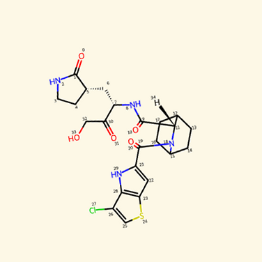 O=C1NCC[C@H]1C[C@H](NC(=O)[C@@H]1C2CCC(CC2)N1C(=O)c1cc2scc(Cl)c2[nH]1)C(=O)CO